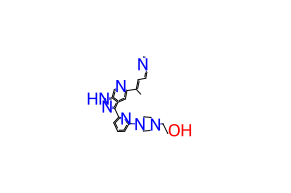 C=N/C=C\C=C(/C)c1cc2c(-c3cccc(N4CCN(CCO)CC4)n3)n[nH]c2cn1